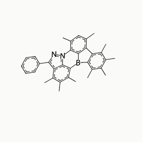 Cc1cc(C)c2c3c1-c1c(C)c(C)c(C)c(C)c1B3c1c(C)c(C)c(C)c3c(-c4ccccc4)nn-2c13